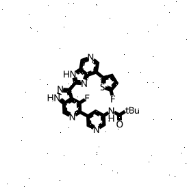 CC(C)(C)C(=O)Nc1cncc(-c2ncc3[nH]nc(-c4nc5c(-c6ccc(F)s6)cncc5[nH]4)c3c2F)c1